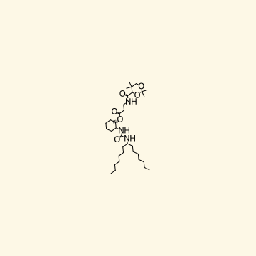 CCCCCCCC(CCCCCCC)NC(=O)NC1CCCC[C@@H]1OC(=O)CCNC(=O)C1OC(C)(C)OCC1(C)C